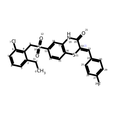 CCc1cccc(Cl)c1CS(=O)(=O)c1ccc2c(c1)NC(=O)/C(=C/c1ccc(F)cc1)S2